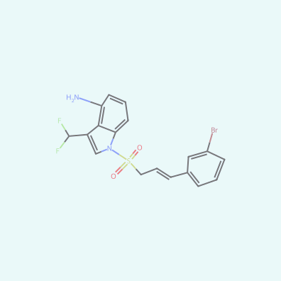 Nc1cccc2c1c(C(F)F)cn2S(=O)(=O)CC=Cc1cccc(Br)c1